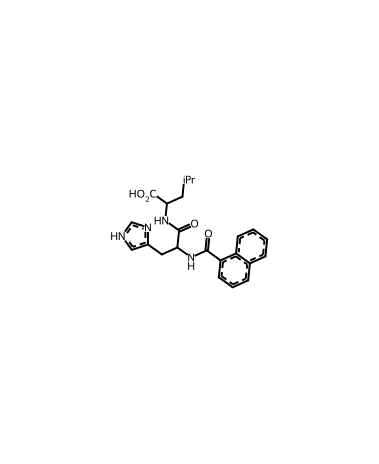 CC(C)CC(NC(=O)C(Cc1c[nH]cn1)NC(=O)c1cccc2ccccc12)C(=O)O